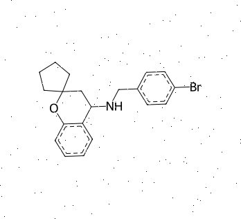 Brc1ccc(CNC2CC3(CCCC3)Oc3ccccc32)cc1